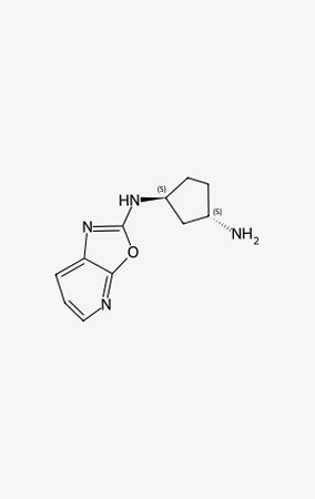 N[C@H]1CC[C@H](Nc2nc3cccnc3o2)C1